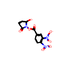 O=C(ON1C(=O)CCC1=O)c1ccc([N+](=O)[O-])c([N+](=O)[O-])c1